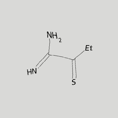 CCC(=S)C(=N)N